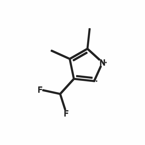 CC1=C(C)C(C(F)F)=[C][N]1